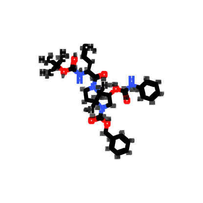 C=CC[C@H](NC(=O)OC(C)(C)C)C(=O)N1CC[C@@H]2[C@H]1[C@@H](OC(=O)Nc1ccccc1)CN2C(=O)OCc1ccccc1